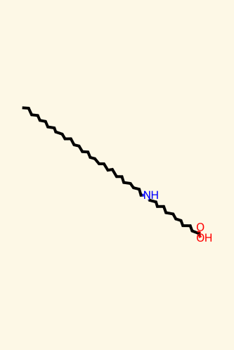 CCCCCCCCCCCCCCCCCCCCCCCCCCCCCNCCCCCCCCCCCC(=O)O